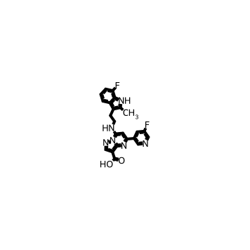 Cc1[nH]c2c(F)cccc2c1CCNc1cc(-c2cncc(F)c2)nc2c(C(=O)O)cnn12